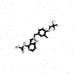 Cc1cc(Cn2cc3c(NC(=O)C(C)C)nccc3n2)ccc1OCC(C)(F)F